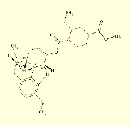 COC(=O)C1CCN(C(=O)OC2=CC[C@H]3[C@H]4Cc5ccc(OC)c6c5[C@@]3(CCN4C)[C@H]2O6)C(CN)C1